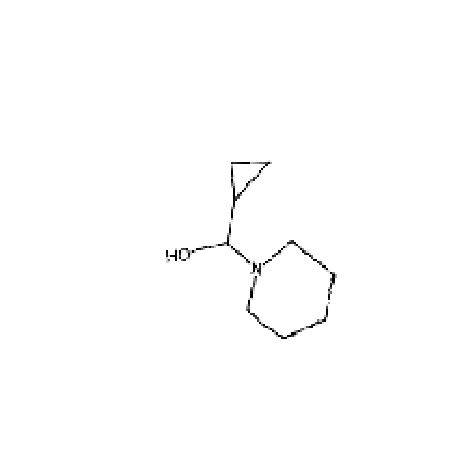 OC(C1CC1)N1CCCCC1